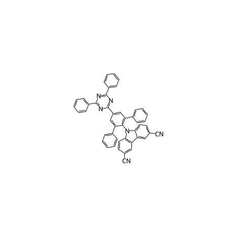 N#Cc1ccc2c(c1)c1cc(C#N)ccc1n2-c1c(-c2ccccc2)cc(-c2nc(-c3ccccc3)nc(-c3ccccc3)n2)cc1-c1ccccc1